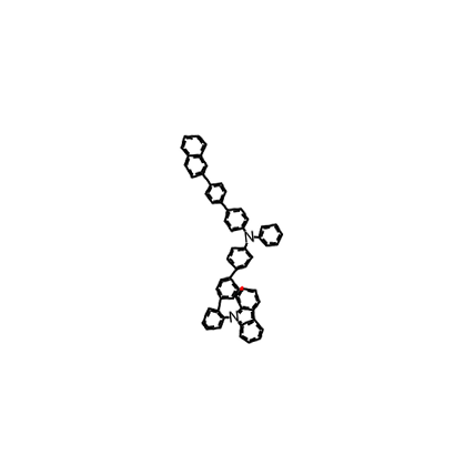 c1ccc(N(c2ccc(-c3ccc(-c4ccc5ccccc5c4)cc3)cc2)c2ccc(-c3ccc(-c4ccccc4-n4c5ccccc5c5ccccc54)cc3)cc2)cc1